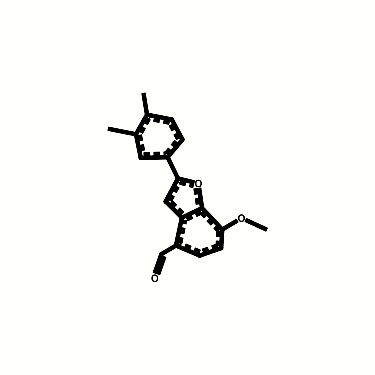 COc1ccc(C=O)c2cc(-c3ccc(C)c(C)c3)oc12